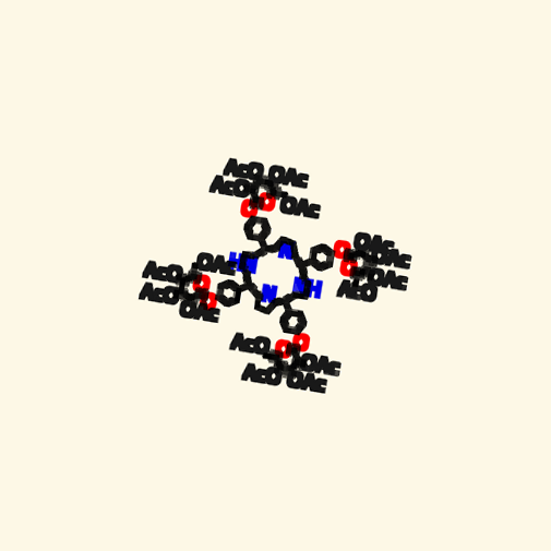 CC(=O)OC[C@H]1O[C@@H](Oc2ccc(-c3c4nc(c(-c5ccc(O[C@@H]6O[C@H](COC(C)=O)[C@@H](OC(C)=O)[C@H](OC(C)=O)[C@H]6OC(C)=O)cc5)c5ccc([nH]5)c(-c5ccc(O[C@@H]6O[C@H](COC(C)=O)[C@@H](OC(C)=O)[C@H](OC(C)=O)[C@H]6OC(C)=O)cc5)c5nc(c(-c6ccc(O[C@@H]7O[C@H](COC(C)=O)[C@@H](OC(C)=O)[C@H](OC(C)=O)[C@H]7OC(C)=O)cc6)c6ccc3[nH]6)CC5)CC4)cc2)[C@H](OC(C)=O)[C@@H](OC(C)=O)[C@@H]1OC(C)=O